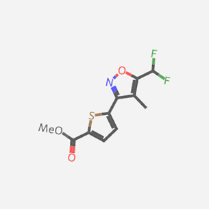 COC(=O)c1ccc(-c2noc(C(F)F)c2C)s1